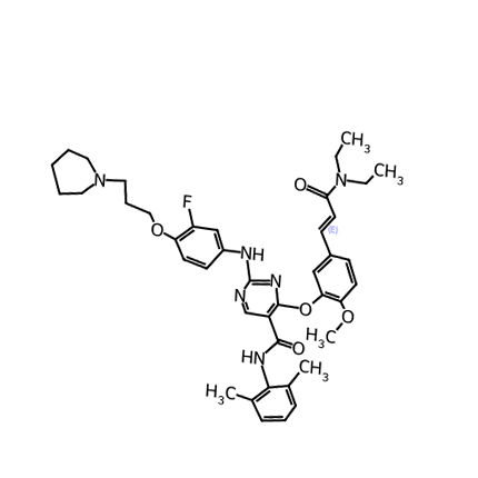 CCN(CC)C(=O)/C=C/c1ccc(OC)c(Oc2nc(Nc3ccc(OCCCN4CCCCC4)c(F)c3)ncc2C(=O)Nc2c(C)cccc2C)c1